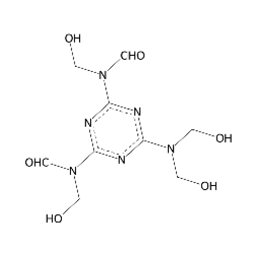 O=CN(CO)c1nc(N(C=O)CO)nc(N(CO)CO)n1